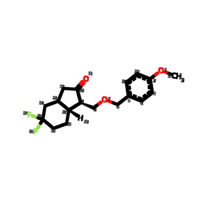 COc1ccc(COC[C@@H]2C(=O)CC3CC(F)(F)CC[C@H]32)cc1